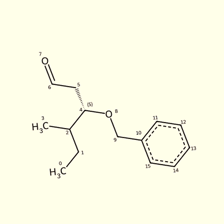 CCC(C)[C@H](CC=O)OCc1ccccc1